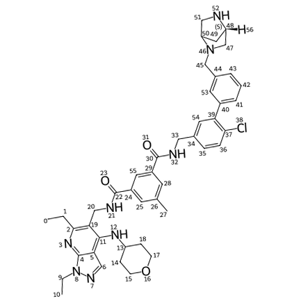 CCc1nc2c(cnn2CC)c(NC2CCOCC2)c1CNC(=O)c1cc(C)cc(C(=O)NCc2ccc(Cl)c(-c3cccc(CN4C[C@@H]5CC4CN5)c3)c2)c1